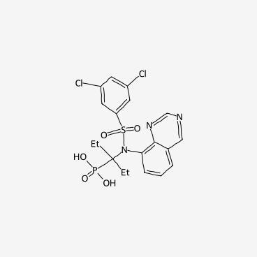 CCC(CC)(N(c1cccc2cncnc12)S(=O)(=O)c1cc(Cl)cc(Cl)c1)P(=O)(O)O